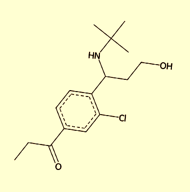 CCC(=O)c1ccc(C(CCO)NC(C)(C)C)c(Cl)c1